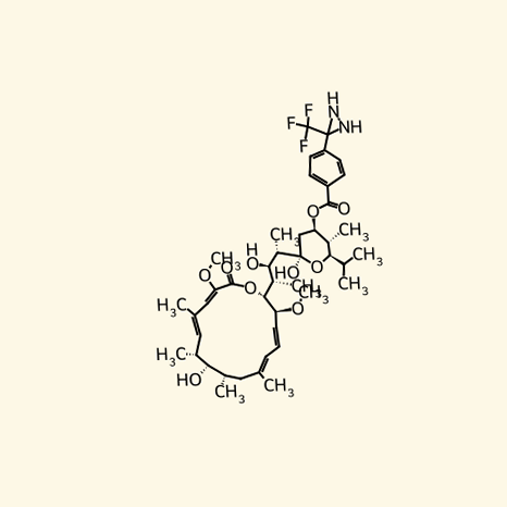 CO/C1=C\C(C)=C\[C@@H](C)[C@@H](O)[C@@H](C)C/C(C)=C/C=C/[C@H](OC)[C@@H]([C@@H](C)[C@@H](O)[C@H](C)[C@@]2(O)C[C@@H](OC(=O)c3ccc(C4(C(F)(F)F)NN4)cc3)[C@H](C)[C@@H](C(C)C)O2)OC1=O